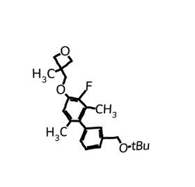 Cc1cc(OCC2(C)COC2)c(F)c(C)c1-c1cccc(COC(C)(C)C)c1